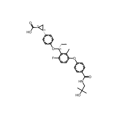 CC[C@@H](Oc1ccc([C@H]2C[C@@H]2C(=O)O)cc1)c1c(F)ccc(Oc2ccc(C(=O)NCC(C)(C)O)cc2)c1C